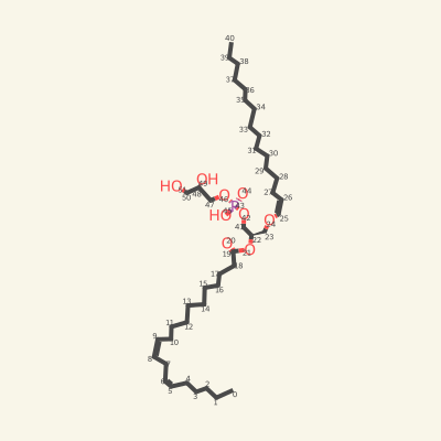 CCCCC/C=C\C/C=C\CCCCCCCCCC(=O)O[C@H](CO/C=C\CCCCCCCCCCCCCC)COP(=O)(O)OC[C@@H](O)CO